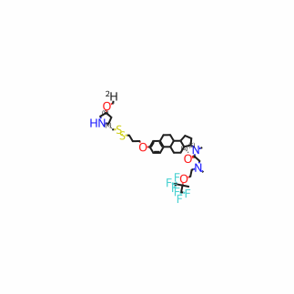 [2H]CO[C@@H]1CN[C@@H](CSSCCCOc2ccc3c(c2)CCC2C3CC[C@@]3(C)C2CC[C@@H]3N(C)C(=O)CN(C)CCOC(C)(C(F)(F)F)C(F)(F)F)C1